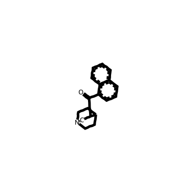 O=C(c1cccc2ccccc12)C1CN2CCC1CC2